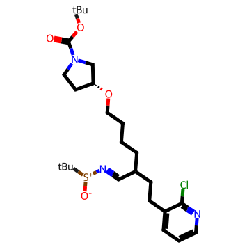 CC(C)(C)OC(=O)N1CC[C@@H](OCCCCC(C=N[S+]([O-])C(C)(C)C)CCc2cccnc2Cl)C1